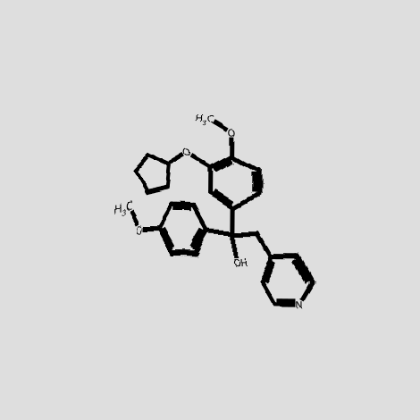 COc1ccc(C(O)(Cc2ccncc2)c2ccc(OC)c(OC3CCCC3)c2)cc1